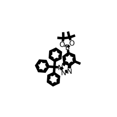 Cc1cc(B2OC(C)(C)C(C)(C)O2)cc2c1nnn2C(c1ccccc1)(c1ccccc1)c1ccccc1